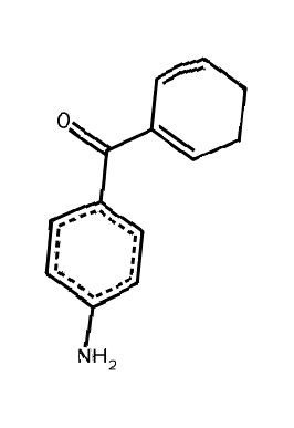 Nc1ccc(C(=O)C2=CCCC=C2)cc1